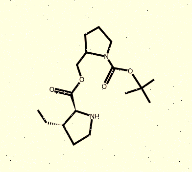 CC[C@H]1CCN[C@@H]1C(=O)OCC1CCCN1C(=O)OC(C)(C)C